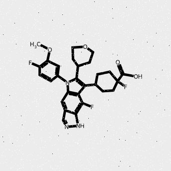 COc1cc(-n2c(C3CCOCC3)c(C3CCC(F)(C(=O)O)CC3)c3c(F)c4[nH]ncc4cc32)ccc1F